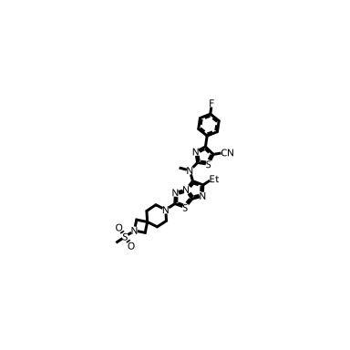 CCc1nc2sc(N3CCC4(CC3)CN(S(C)(=O)=O)C4)nn2c1N(C)c1nc(-c2ccc(F)cc2)c(C#N)s1